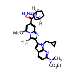 CCOC(=O)N(C)c1ccc2cc(-c3nc4cc(C(=O)N5[C@H]6CC[C@@H]5[C@H](N)C6)cc(OC)n4c3C)n(CC3CC3)c2n1